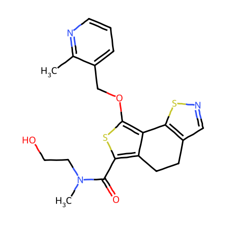 Cc1ncccc1COc1sc(C(=O)N(C)CCO)c2c1-c1sncc1CC2